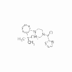 CC(C)(C)c1ccccc1N1CCN(C(=O)c2nccs2)CC1